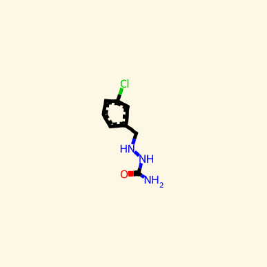 NC(=O)NNCc1cccc(Cl)c1